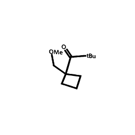 COCC1(C(=O)C(C)(C)C)CCC1